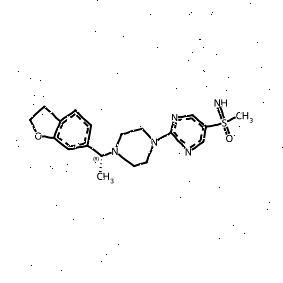 C[C@H](c1ccc2c(c1)OCC2)N1CCN(c2ncc(S(C)(=N)=O)cn2)CC1